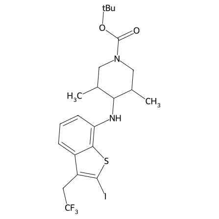 CC1CN(C(=O)OC(C)(C)C)CC(C)C1Nc1cccc2c(CC(F)(F)F)c(I)sc12